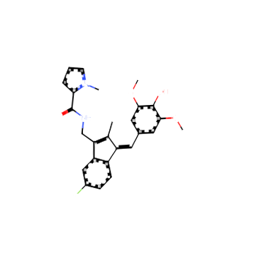 COc1cc(C=C2C(C)=C(CNC(=O)c3cccn3C)c3cc(F)ccc32)cc(OC)c1O